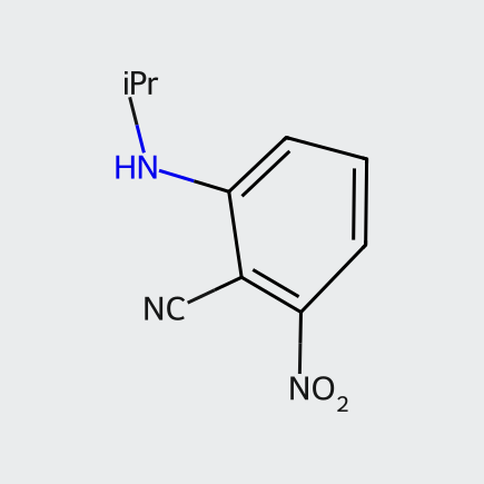 CC(C)Nc1cccc([N+](=O)[O-])c1C#N